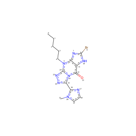 CCCCCn1c2nc(Br)[nH]c2c(=O)n2c(-c3nccn3C)nnc12